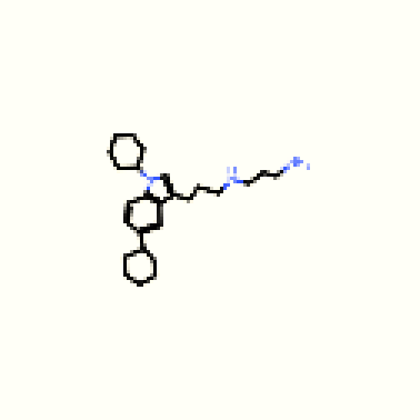 NCCCNCCCc1cn(C2CCCCC2)c2ccc(C3CCCCC3)cc12